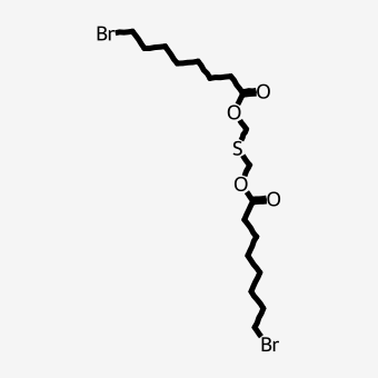 O=C(CCCCCCCBr)OCSCOC(=O)CCCCCCCBr